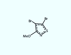 COc1nsc(Br)c1Br